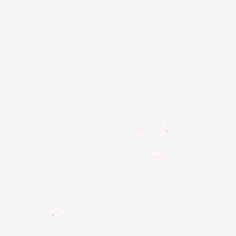 CCCC(C)c1ccc(OS(=O)(=O)C2CCC(C3COC3)CC2)cc1